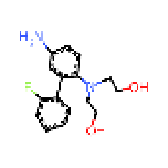 Nc1ccc(N(CCO)CCO)c(-c2ccccc2F)c1